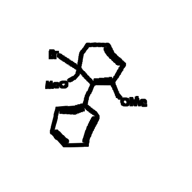 COC1=C(c2ccccc2)C(Br)(OC)CC=C1